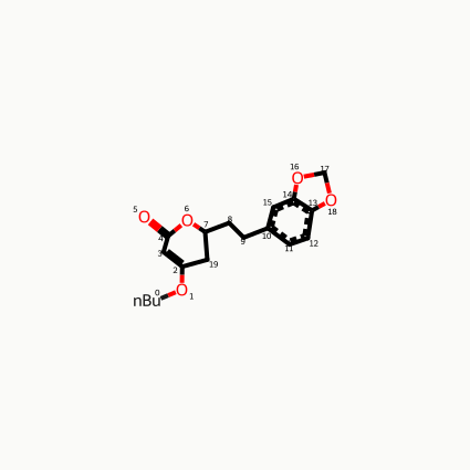 CCCCOC1=CC(=O)OC(CCc2ccc3c(c2)OCO3)C1